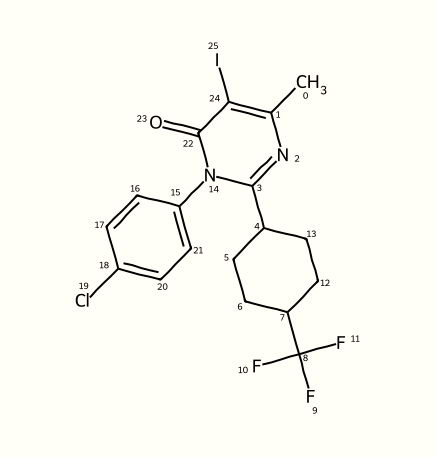 Cc1nc(C2CCC(C(F)(F)F)CC2)n(-c2ccc(Cl)cc2)c(=O)c1I